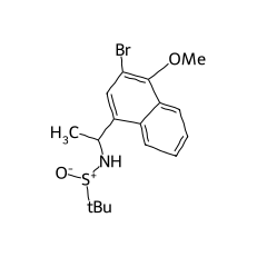 COc1c(Br)cc(C(C)N[S+]([O-])C(C)(C)C)c2ccccc12